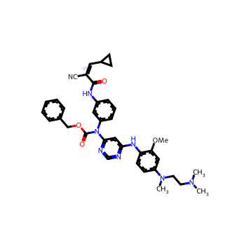 COc1cc(N(C)CCN(C)C)ccc1Nc1cc(N(C(=O)OCc2ccccc2)c2cccc(NC(=O)/C(C#N)=C\C3CC3)c2)ncn1